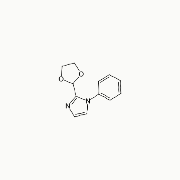 c1ccc(-n2ccnc2C2OCCO2)cc1